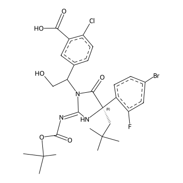 CC(C)(C)C[C@]1(c2ccc(Br)cc2F)NC(=NC(=O)OC(C)(C)C)N(C(CO)c2ccc(Cl)c(C(=O)O)c2)C1=O